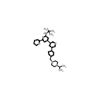 CC(C)N1CCN(Cc2ccc(-c3cncc(-c4cc(NC(C)(C)C)nc(-c5ccccn5)c4)c3)cc2)CC1